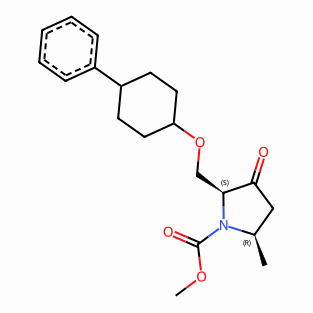 COC(=O)N1[C@H](C)CC(=O)[C@@H]1COC1CCC(c2ccccc2)CC1